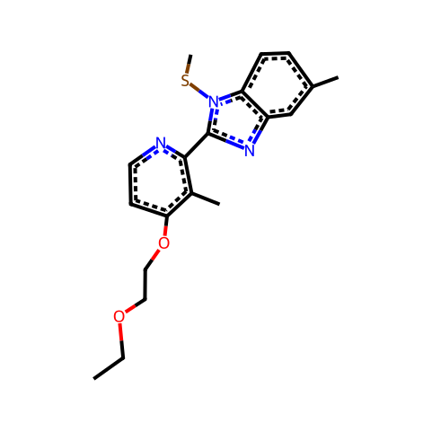 CCOCCOc1ccnc(-c2nc3cc(C)ccc3n2SC)c1C